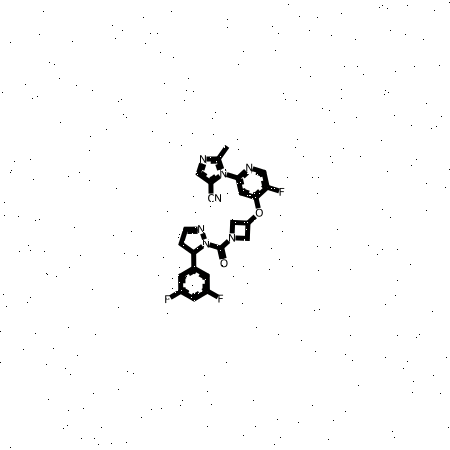 Cc1ncc(C#N)n1-c1cc(OC2CN(C(=O)N3N=CCC3c3cc(F)cc(F)c3)C2)c(F)cn1